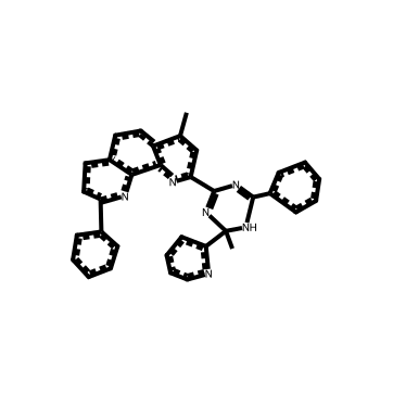 Cc1cc(C2=NC(C)(c3ccccn3)NC(c3ccccc3)=N2)nc2c1ccc1ccc(-c3ccccc3)nc12